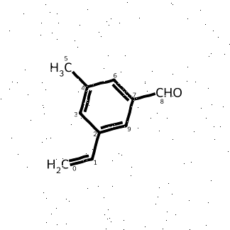 C=Cc1cc(C)cc(C=O)c1